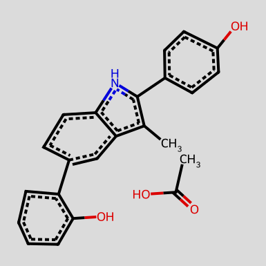 CC(=O)O.Cc1c(-c2ccc(O)cc2)[nH]c2ccc(-c3ccccc3O)cc12